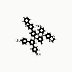 Cc1cc2c3c(c1)N(c1ccc4c(c1)OCCO4)c1ccc(C(C)(C)C)cc1B3c1cc(-c3ccc4c(c3)sc3ccccc34)ccc1N2c1cc(-c2ccc(C(C)(C)C)cc2)cc(-c2ccc(C(C)(C)C)cc2)c1